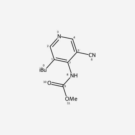 CCC(C)c1cncc(C#N)c1NC(=O)OC